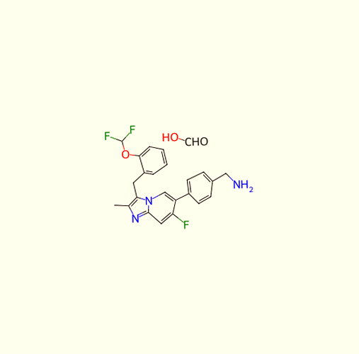 Cc1nc2cc(F)c(-c3ccc(CN)cc3)cn2c1Cc1ccccc1OC(F)F.O=CO